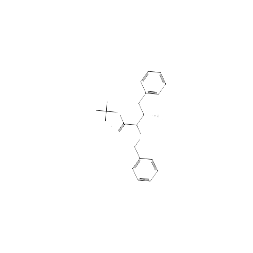 CC(C)(C)OC(=O)C(OCc1ccccc1)[C@@H](N)Cc1ccccc1